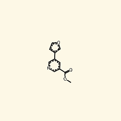 COC(=O)c1cncc(-c2ccoc2)c1